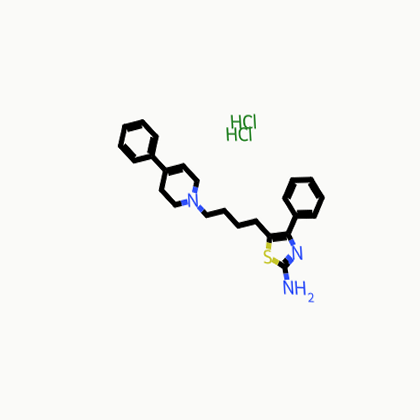 Cl.Cl.Nc1nc(-c2ccccc2)c(CCCCN2CC=C(c3ccccc3)CC2)s1